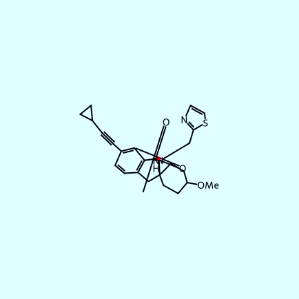 COC1CCC2(CC1)Cc1ccc(C#CC3CC3)cc1C21NC(=O)N(Cc2nccs2)C1=O